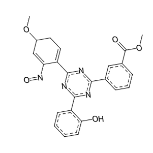 COC(=O)c1cccc(-c2nc(C3=CCC(OC)C=C3N=O)nc(-c3ccccc3O)n2)c1